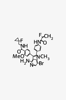 C=C(F)C(=O)Nc1ccc(-c2c(-c3ccc(C(=O)NCC4(F)CC4)c(OC)c3)c3c(N)ncc(Br)c3n2C)cc1